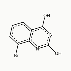 Oc1nc(O)c2cccc(Br)c2n1